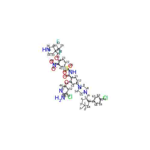 CC1(C)CCC(CN2CCN(c3ccc(C(=O)NS(=O)(=O)c4ccc(OCC5(C(C)(F)CF)CCNCC5)c([N+](=O)[O-])c4)c(Oc4cnc(N)c(Cl)c4)c3)CC2)=C(c2ccc(Cl)cc2)C1